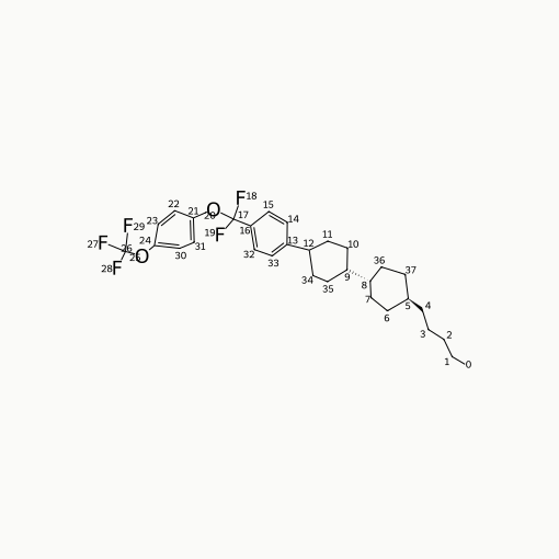 CCCCC[C@H]1CC[C@H](C2CCC(c3ccc(C(F)(F)Oc4ccc(OC(F)(F)F)cc4)cc3)CC2)CC1